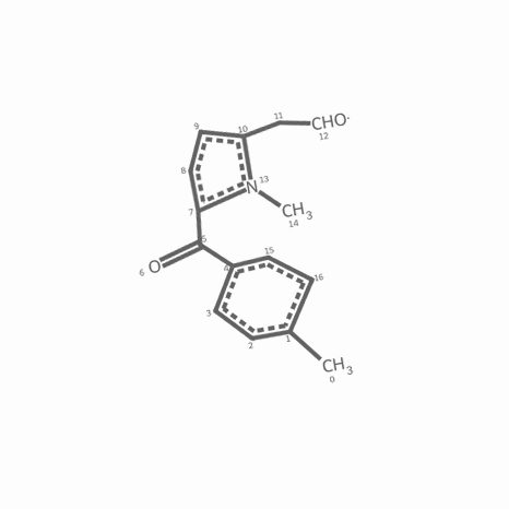 Cc1ccc(C(=O)c2ccc(C[C]=O)n2C)cc1